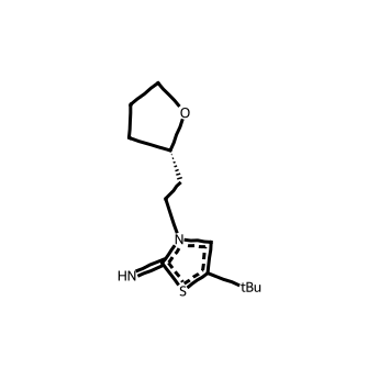 CC(C)(C)c1cn(CC[C@@H]2CCCO2)c(=N)s1